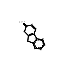 B=C1C=CC2=C(C1)Cc1ccccc12